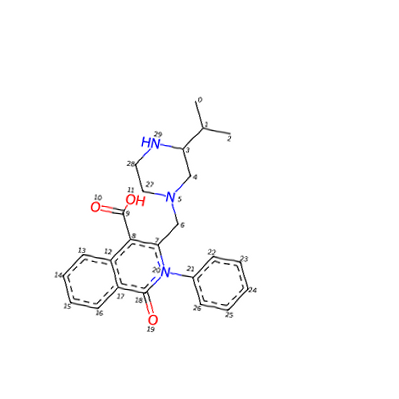 CC(C)C1CN(Cc2c(C(=O)O)c3ccccc3c(=O)n2-c2ccccc2)CCN1